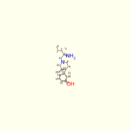 CC[C@H](C)[C@@H](N)CN1CC[C@@](C)(c2cccc(O)c2)[C@@H](C)C1